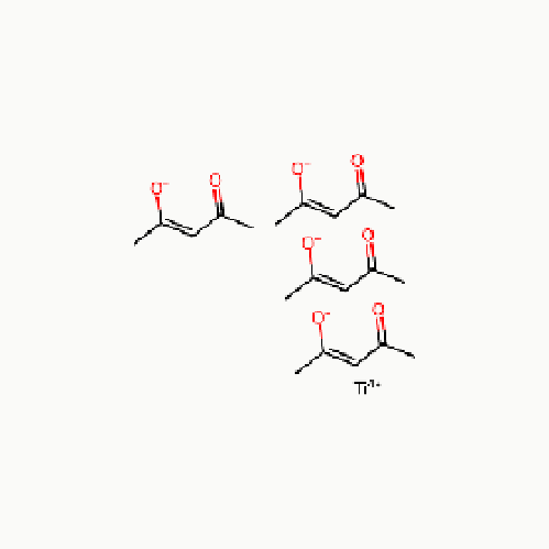 CC(=O)/C=C(/C)[O-].CC(=O)/C=C(/C)[O-].CC(=O)/C=C(/C)[O-].CC(=O)/C=C(/C)[O-].[Ti+4]